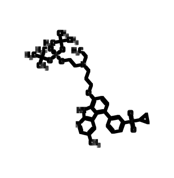 CCN(CCCOc1ccc(-c2cccc(S(=O)(=O)C3CC3)c2)c2c1[nH]c1ncc(C)cc12)CCOP(=O)(OC(C)(C)C)OC(C)(C)C